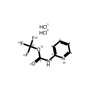 Cl.Cl.O=C(Nc1ccccn1)OC(F)(F)F